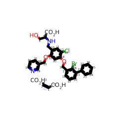 O=C(O)/C=C\C(=O)O.O=C(O)C(CO)NCc1cc(Cl)c(OCc2cccc(-c3ccccc3)c2Br)cc1OCc1cccnc1